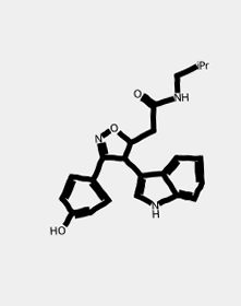 CC(C)CNC(=O)CC1ON=C(c2ccc(O)cc2)C1c1c[nH]c2ccccc12